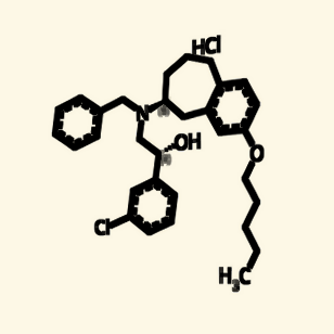 CCCCCOc1ccc2c(c1)C[C@@H](N(Cc1ccccc1)C[C@H](O)c1cccc(Cl)c1)CCC2.Cl